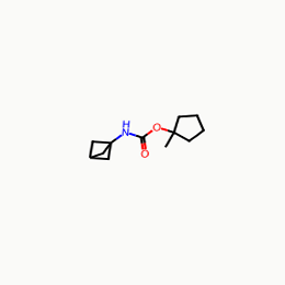 CC1(OC(=O)NC23CC(C2)C3)CCCC1